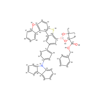 CC1(C)OB(c2cc(-c3ccc(-n4c5ccccc5c5ccccc54)cc3)cc3c2sc2ccc4oc5ccccc5c4c23)OC1(C)C(=O)OCc1ccccc1